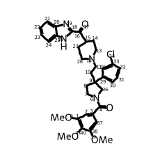 COc1cc(C(=O)N2CCC(CCN3CCC(C(=O)c4nc5ccccc5[nH]4)CC3)(c3cccc(Cl)c3)C2)cc(OC)c1OC